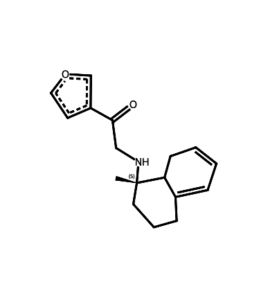 C[C@]1(NCC(=O)c2ccoc2)CCCC2=CC=CCC21